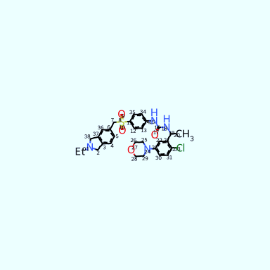 CCN1Cc2ccc(CS(=O)(=O)c3ccc(NC(=O)NC(C)c4cc(N5CCOCC5)ccc4Cl)cc3)cc2C1